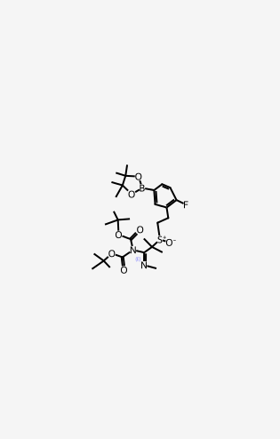 C/N=C(/N(C(=O)OC(C)(C)C)C(=O)OC(C)(C)C)C(C)(C)[S+]([O-])CCc1cc(B2OC(C)(C)C(C)(C)O2)ccc1F